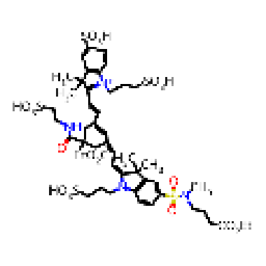 CCOC(=O)CCCN(C)S(=O)(=O)c1ccc2c(c1)C(C)(C)/C(=C\C=C1C=C(/C=C/C3=[N+](CCCS(=O)(=O)O)c4ccc(S(=O)(=O)O)cc4C3(C)C)CC(C(=O)NCCS(=O)(=O)O)(C(=O)OCC)C\1)N2CCCS(=O)(=O)O